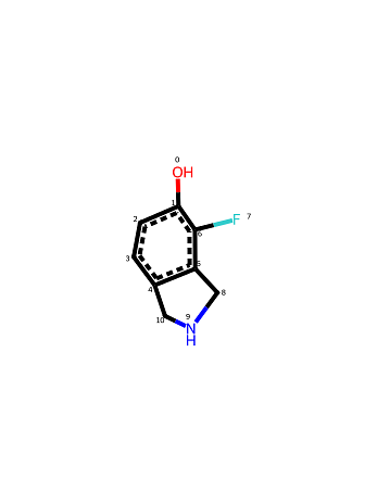 Oc1ccc2c(c1F)CNC2